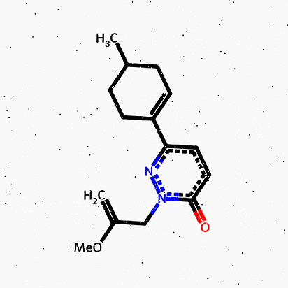 C=C(Cn1nc(C2=CCC(C)CC2)ccc1=O)OC